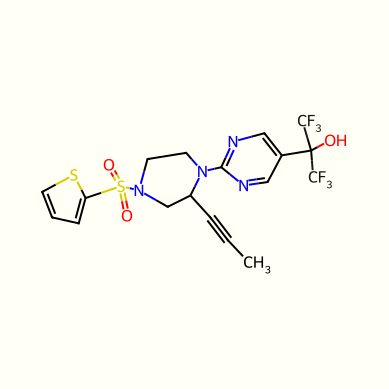 CC#CC1CN(S(=O)(=O)c2cccs2)CCN1c1ncc(C(O)(C(F)(F)F)C(F)(F)F)cn1